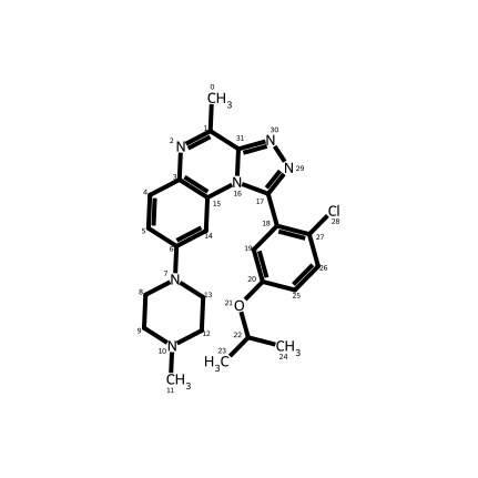 Cc1nc2ccc(N3CCN(C)CC3)cc2n2c(-c3cc(OC(C)C)ccc3Cl)nnc12